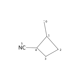 [CH2]C1CCC1C#N